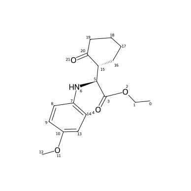 CCOC(=O)[C@@H](Nc1ccc(OC)cc1)[C@H]1CCCCC1=O